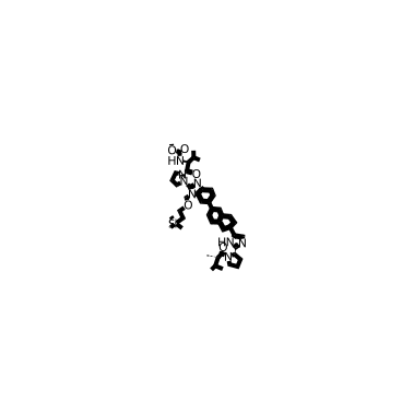 COC(=O)N[C@H](C(=O)N1CCCN1c1nc2ccc(-c3ccc4cc(-c5cnc([C@@H]6CCCN6C(=O)[C@@H](C)C(C)C)[nH]5)ccc4c3)cc2n1COCC[Si](C)(C)C)C(C)C